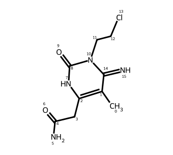 Cc1c(CC(N)=O)[nH]c(=O)n(CCCl)c1=N